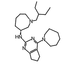 CCC(CC)CN1CCCC[C@H](Nc2nc3c(c(N4CCCCCC4)n2)CCC3)C1